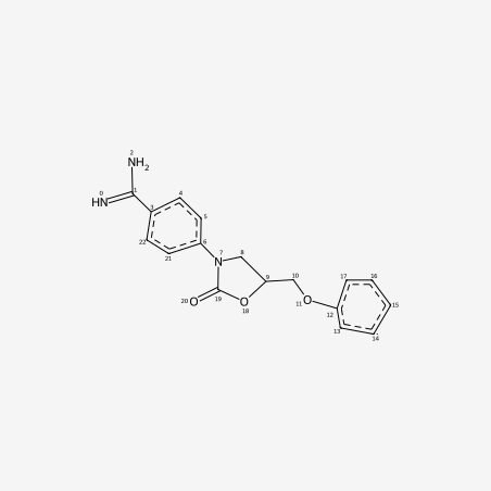 N=C(N)c1ccc(N2CC(COc3c[c]ccc3)OC2=O)cc1